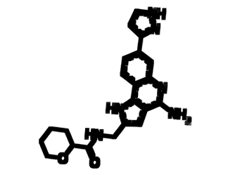 Nc1nc2cc(-c3cc[nH]n3)ccc2c2[nH]c(CNC(=O)C3CCCCO3)cc12